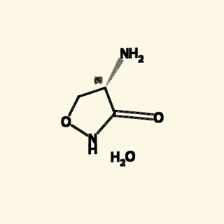 N[C@H]1CONC1=O.O